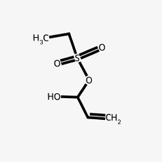 C=CC(O)OS(=O)(=O)CC